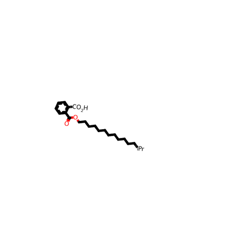 CC(C)CCCCCCCCCCCCOC(=O)c1ccccc1C(=O)O